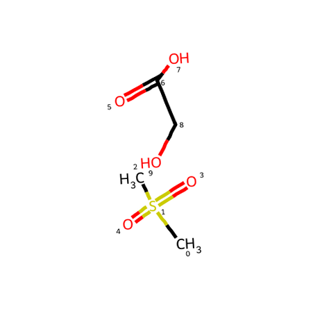 CS(C)(=O)=O.O=C(O)CO